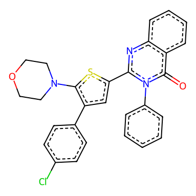 O=c1c2ccccc2nc(-c2cc(-c3ccc(Cl)cc3)c(N3CCOCC3)s2)n1-c1ccccc1